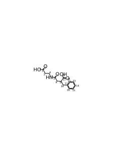 O=C(O)CCNC(=O)CC(Cc1ccccc1)C(=O)O